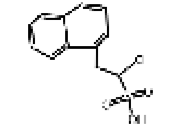 O=S(=O)(O)C(Cl)Cc1cccc2ccccc12